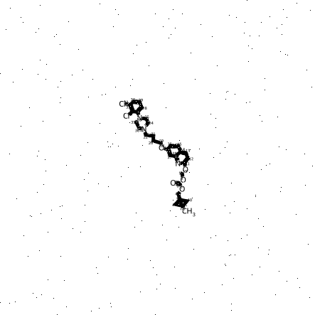 CC12CC1(COC(=O)OCOc1ccc3ccc(OCCCCN4CCN(c5cccc(Cl)c5Cl)CC4)cc3n1)C2